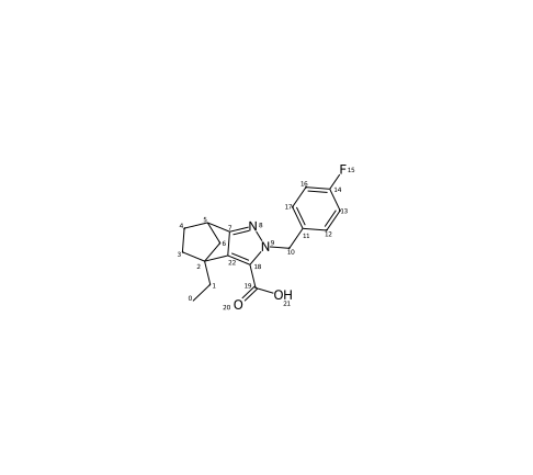 CCC12CCC(C1)c1nn(Cc3ccc(F)cc3)c(C(=O)O)c12